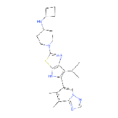 Cc1c(-c2[nH]c3sc(N4CCC(NC5CCC5)CC4)nc3c2C(C)C)cn2ncnc2c1C